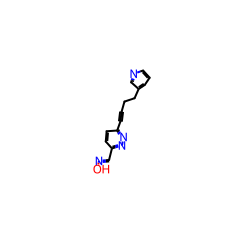 ON=Cc1ccc(C#CCCc2cccnc2)nn1